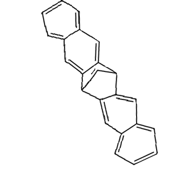 C1=CC2c3cc4ccccc4cc3C1c1cc3ccccc3cc12